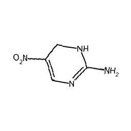 NC1=NC=C([N+](=O)[O-])CN1